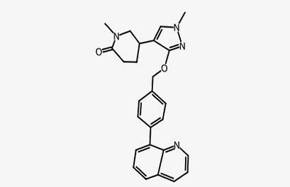 CN1CC(c2cn(C)nc2OCc2ccc(-c3cccc4cccnc34)cc2)CCC1=O